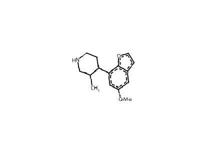 COc1cc(C2CCNCC2C)c2occc2c1